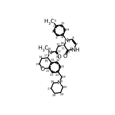 Cc1ccc(N2C=CNC(=O)[C@H]2CC(=O)N(C)[C@@H]2CCOc3cc(CN4CCCCC4)ccc32)cc1